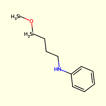 [SiH3]O[SiH2]CCCNc1ccccc1